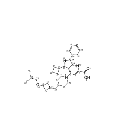 O=C(O)c1cc(N2CCC(CN3CC(OCC(F)F)C3)CC2)c2c(C3CCC3)nn(-c3ccccc3)c2n1